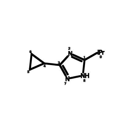 CC(C)c1nc(C2CC2)n[nH]1